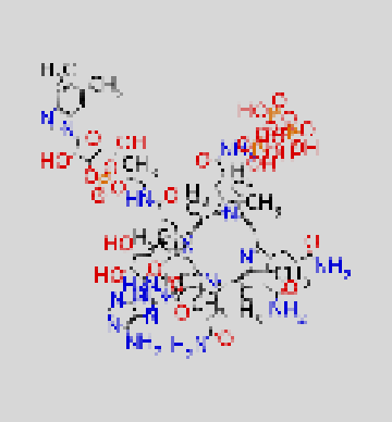 C/C1=C2N=C(/C=C3N=C(/C(C)=C4\[N]([Co+][CH2][C@H]5O[C@@H](n6cnc7c(N)ncnc76)[C@H](O)[C@@H]5O)C(C(CC(N)=O)C4(C)CCC(=O)NCC(C)OP(=O)([O-])O[C@H]4[C@@H](O)[C@@H](n5cnc6cc(C)c(C)cc65)O[C@@H]4CO)C4(C)N=C1C(CCC(N)=O)C4(C)CC(N)=O)C(CCC(N)=O)C\3(C)C)C(CCC(N)=O)C/2(C)CC(N)=O.O=P(O)(O)O.O=P(O)(O)OP(=O)(O)O